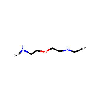 CCCNCCOCCNCC(C)C